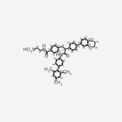 Cc1cc(C)c(-c2ccc(NC(=O)C(Cc3ccc(C(=O)NCCS(=O)(=O)O)cc3)c3ccc(-c4ccc5c(c4)OCCO5)cc3)cc2)c(C)c1